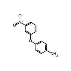 Nc1ccc(Oc2cccc([N+](=O)[O-])c2)cc1